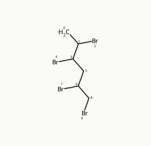 [CH2]C(Br)C(Br)CC(Br)CBr